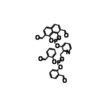 O=Cc1ccccc1OP(OCc1ncccc1OP(Oc1ccccc1C=O)Oc1ccccc1C=O)Oc1ccccc1C=O